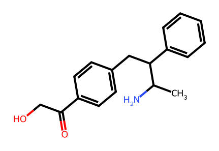 CC(N)C(Cc1ccc(C(=O)CO)cc1)c1ccccc1